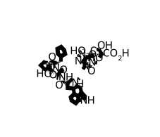 CN1C[C@H](C(=O)N[C@]2(C)O[C@@]3(O)[C@@H]4CCCN4C(=O)[C@H](Cc4ccccc4)N3C2=O)C=C2c3cccc4[nH]cc(c34)C[C@H]21.Cn1c(=O)c2c(ncn2C)n(C)c1=O.O=C(O)C(O)C(O)C(=O)O